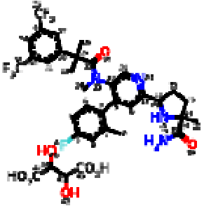 Cc1cc(F)ccc1-c1cc([C@H]2CC[C@](C)(C(N)=O)N2)ncc1N(C)C(=O)C(C)(C)c1cc(C(F)(F)F)cc(C(F)(F)F)c1.O=C(O)C(O)C(O)C(=O)O